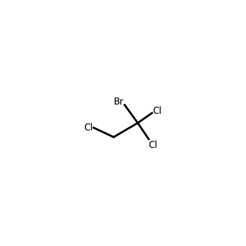 ClCC(Cl)(Cl)Br